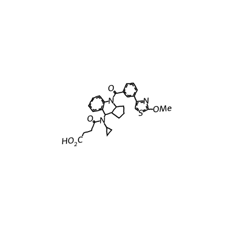 COc1nc(-c2cccc(C(=O)N3c4ccccc4C(N(C(=O)CCC(=O)O)C4CC4)C4CCCC43)c2)cs1